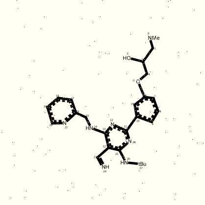 CNCC(O)COc1cccc(-c2nc(NCc3ccccn3)c(C=N)c(NC(C)(C)C)n2)c1